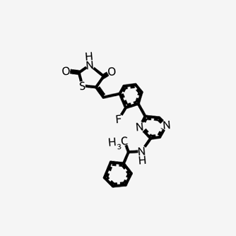 CC(Nc1cncc(-c2cccc(C=C3SC(=O)NC3=O)c2F)n1)c1ccccc1